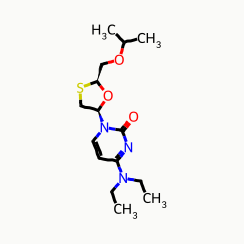 CCN(CC)c1ccn([C@H]2CS[C@@H](COC(C)C)O2)c(=O)n1